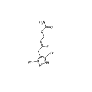 CC(C)c1n[nH]c(C(C)C)c1C/C(F)=C/COC(N)=O